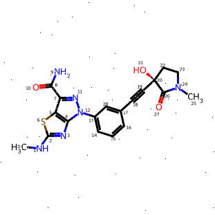 CNc1nc2c(s1)c(C(N)=O)nn2-c1cccc(C#C[C@]2(O)CCN(C)C2=O)c1